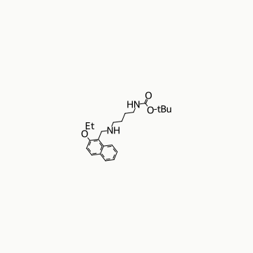 CCOc1ccc2ccccc2c1CNCCCCNC(=O)OC(C)(C)C